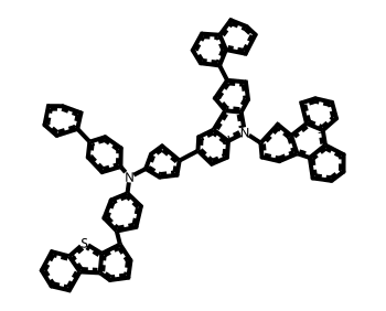 c1ccc(-c2ccc(N(c3ccc(-c4ccc5c(c4)c4cc(-c6cccc7ccccc67)ccc4n5-c4ccc5c6ccccc6c6ccccc6c5c4)cc3)c3ccc(-c4cccc5c4sc4ccccc45)cc3)cc2)cc1